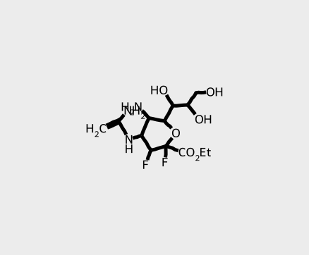 C=C(N)NC1C(N)C(C(O)C(O)CO)OC(F)(C(=O)OCC)C1F